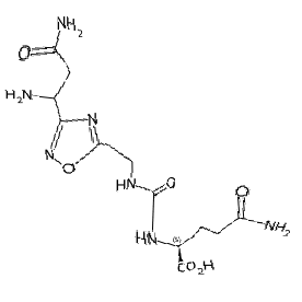 NC(=O)CC[C@H](NC(=O)NCc1nc(C(N)CC(N)=O)no1)C(=O)O